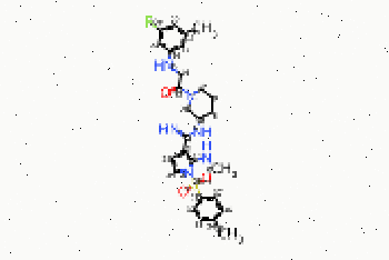 CNc1c(C(=N)N[C@H]2CCCN(C(=O)CNc3cc(C)cc(F)c3)C2)ccn1S(=O)(=O)c1ccc(C)cc1